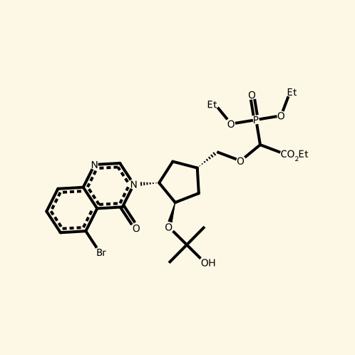 CCOC(=O)C(OC[C@H]1C[C@@H](n2cnc3cccc(Br)c3c2=O)[C@H](OC(C)(C)O)C1)P(=O)(OCC)OCC